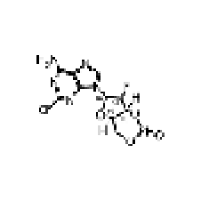 Nc1nc(Cl)nc2c1ncn2[C@@H]1O[C@@H]2CO[PH](=O)O[C@H]2[C@@H]1F